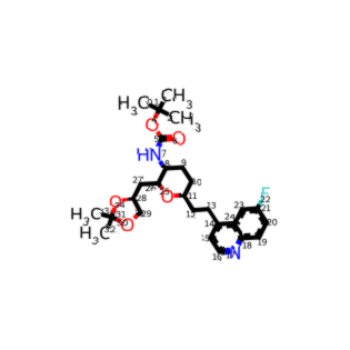 CC(C)(C)OC(=O)NC1CCC(CCc2ccnc3ccc(F)cc23)OC1CC1COC(C)(C)O1